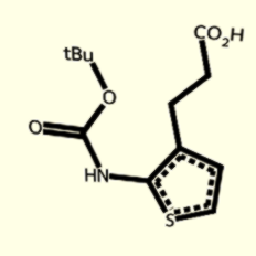 CC(C)(C)OC(=O)Nc1sccc1CCC(=O)O